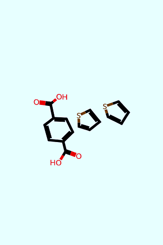 O=C(O)c1ccc(C(=O)O)cc1.c1ccsc1.c1ccsc1